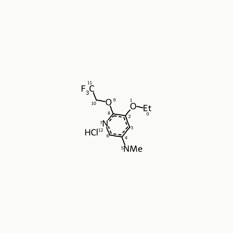 CCOc1cc(NC)cnc1OCC(F)(F)F.Cl